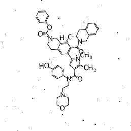 Cc1c(C(=O)N(CCN2CCOCC2)c2ccc(O)cc2)cc(-c2cc3c(cc2C(=O)N2Cc4ccccc4C[C@H]2C)CN(C(=O)Oc2ccccc2)CC3)n1C